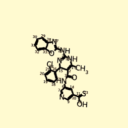 CC1=C(C(=O)Nc2cncc(C(O)=S)c2)C(c2ccccc2Cl)N=C(Nc2nc3ccccc3o2)N1